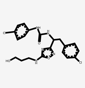 O=C(Nc1ccc(Cl)cc1)NC(Cc1ccc(Cl)cc1)c1noc(NCCCO)n1